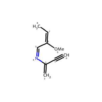 C#CC(=C)/N=C\C(=C/C)OC